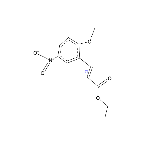 CCOC(=O)/C=C/c1cc([N+](=O)[O-])ccc1OC